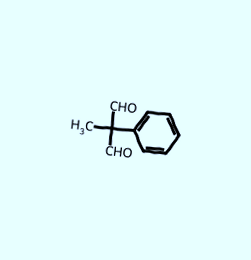 CC(C=O)(C=O)c1ccccc1